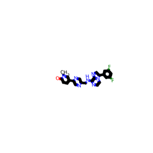 Cn1cc(-c2cnc(CNc3nccn4c(-c5cc(F)cc(F)c5)cnc34)cn2)ccc1=O